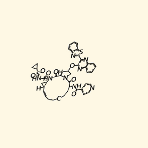 O=C(N[C@H]1CCCCCC=C[C@@H]2C[C@@]2(C(=O)NS(=O)(=O)C2CC2)NC(=O)[C@@H]2C[C@@H](Oc3nc4ccccc4nc3-c3nc4ccccc4s3)CN2C1=O)c1ccncc1